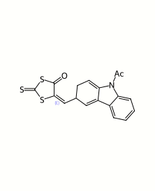 CC(=O)n1c2c(c3ccccc31)=CC(/C=C1/SC(=S)SC1=O)CC=2